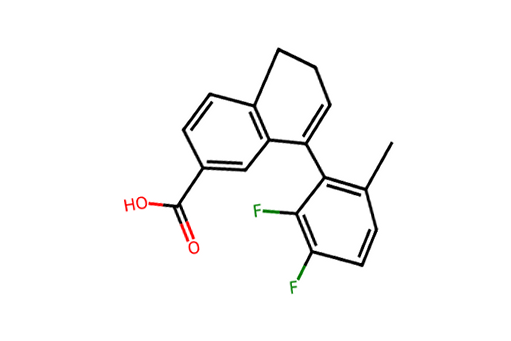 Cc1ccc(F)c(F)c1C1=CCCc2ccc(C(=O)O)cc21